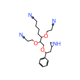 N#CCCCCC(OCCC#N)C(COC(CC1CN1)c1ccccc1)OCCC#N